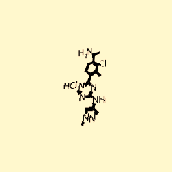 Cc1c(-c2ncnc(Nc3cnn(C)c3)n2)ccc(C(C)N)c1Cl.Cl